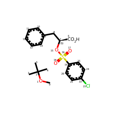 COC(C)(C)C.O=C(O)[C@H](Cc1ccccc1)OS(=O)(=O)c1ccc(Cl)cc1